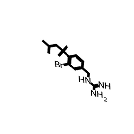 CC(C)CC(C)(C)c1ccc(CNC(=N)N)cc1Br